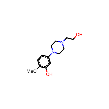 COc1ccc(N2CCN(CCO)CC2)cc1O